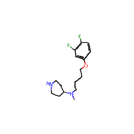 CN(CCCCOc1ccc(F)c(F)c1)C1CCNCC1